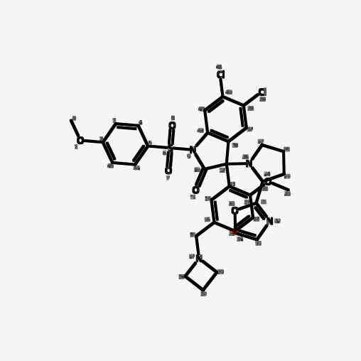 COc1ccc(S(=O)(=O)N2C(=O)C(c3cc(CN4CCC4)ccc3OC)(N3CCCC3c3ncco3)c3cc(Cl)c(Cl)cc32)cc1